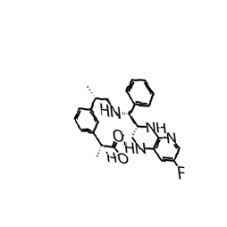 C[C@H](CN[C@H](c1ccccc1)[C@H]1CNc2cc(F)cnc2N1)c1cccc([C@@H](C)C(=O)O)c1